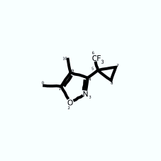 Cc1onc(C2(C(F)(F)F)CC2)c1C